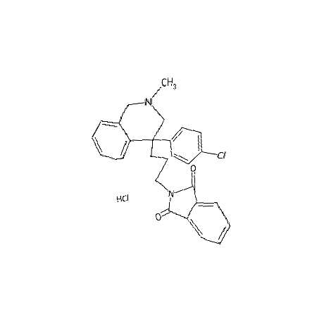 CN1Cc2ccccc2C(CCCN2C(=O)c3ccccc3C2=O)(c2ccc(Cl)cc2)C1.Cl